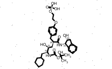 CC(C)(C)OC(=O)N[C@@H](CC1CCCCC1)[C@@H](O)C[C@@H](Cc1ccc(OCCOP(=O)(O)O)cc1)C(=O)N[C@H]1c2ccccc2C[C@H]1O